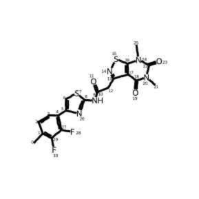 Cc1ccc(-c2csc(NC(=O)Cc3nsc4c3c(=O)n(C)c(=O)n4C)n2)c(F)c1F